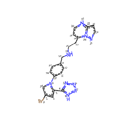 Brc1cc(-c2nnn[nH]2)n(-c2ccc(CNCCc3ccnc4ccnn34)cc2)c1